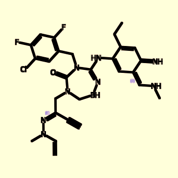 C#C/C(CN1CBN=C(NC2=C/C(=C/NC)C(=N)C=C2CC)N(Cc2cc(Cl)c(F)cc2F)C1=O)=N\N(C)C=C